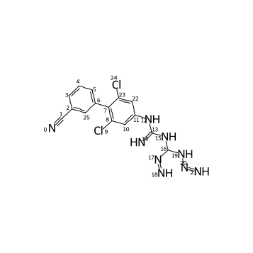 N#Cc1cccc(-c2c(Cl)cc(NC(=N)NC(N=N)NN=N)cc2Cl)c1